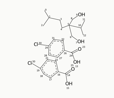 CC(C)CCC(CO)(CO)C(C)C.O=C(O)c1ccc(Cl)cc1.O=C(O)c1ccc(Cl)cc1